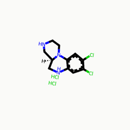 Cl.Cl.Clc1cc2c(cc1Cl)N1CCNC[C@@H]1CN2